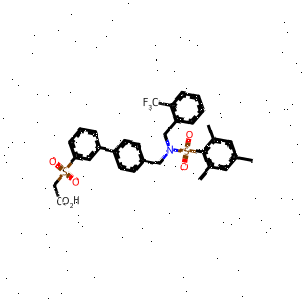 Cc1cc(C)c(S(=O)(=O)N(Cc2ccc(-c3cccc(S(=O)(=O)CC(=O)O)c3)cc2)Cc2ccccc2C(F)(F)F)c(C)c1